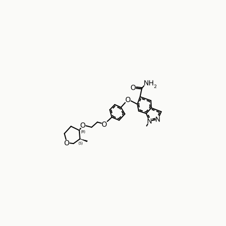 C[C@H]1COCC[C@H]1OCCOc1ccc(Oc2cc3c(cnn3C)cc2C(N)=O)cc1